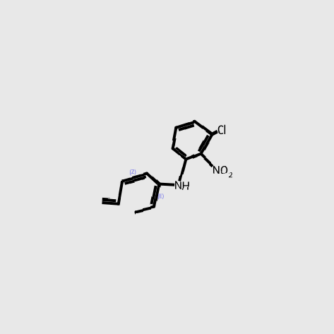 C=C/C=C\C(=C/C)Nc1cccc(Cl)c1[N+](=O)[O-]